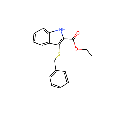 CCOC(=O)c1[nH]c2ccccc2c1SCc1ccccc1